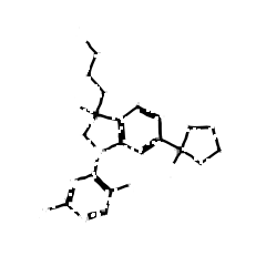 CC1(CCCO)CN(c2nc(N)ncc2Cl)c2cc(C3(O)CCCC3)ccc21